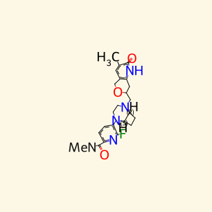 CNC(=O)c1ccc(N2CCN(CC3Cc4[nH]c(=O)c(C)cc4CO3)[C@@H]3CC[C@@H]32)c(F)n1